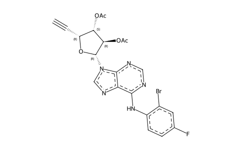 C#C[C@H]1O[C@@H](n2cnc3c(Nc4ccc(F)cc4Br)ncnc32)[C@H](OC(C)=O)[C@H]1OC(C)=O